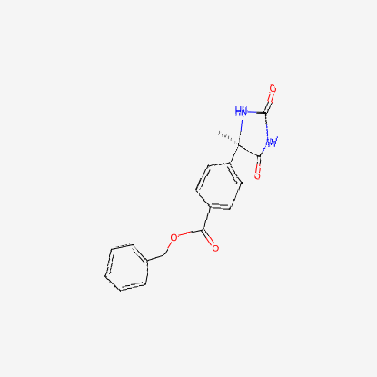 C[C@]1(c2ccc(C(=O)OCc3ccccc3)cc2)NC(=O)NC1=O